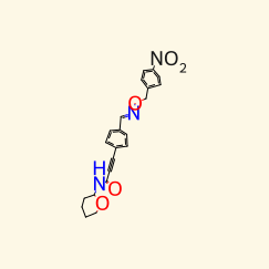 O=C(C#Cc1ccc(C=NOCc2ccc([N+](=O)[O-])cc2)cc1)NC1CCCCO1